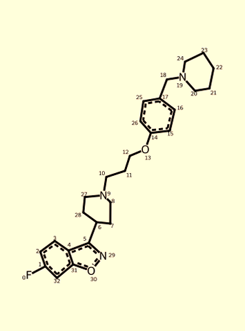 Fc1ccc2c(C3CCN(CCCOc4ccc(CN5CCCCC5)cc4)CC3)noc2c1